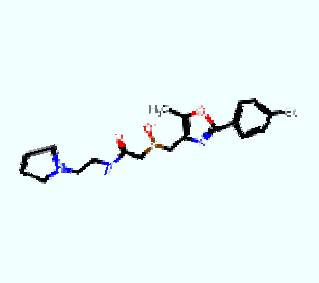 CCc1ccc(-c2nc(C[S+]([O-])CC(=O)NCCN3CCCC3)c(C)o2)cc1